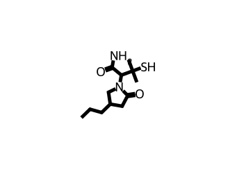 CCCC1CC(=O)N(C(C(N)=O)C(C)(C)S)C1